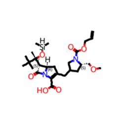 C=CCOC(=O)N1CC(CC2=C(C(=O)O)N3C(=O)[C@H]([C@@](C)(O[SiH](C)C)C(C)(C)C)[C@H]3C2)C[C@H]1COC